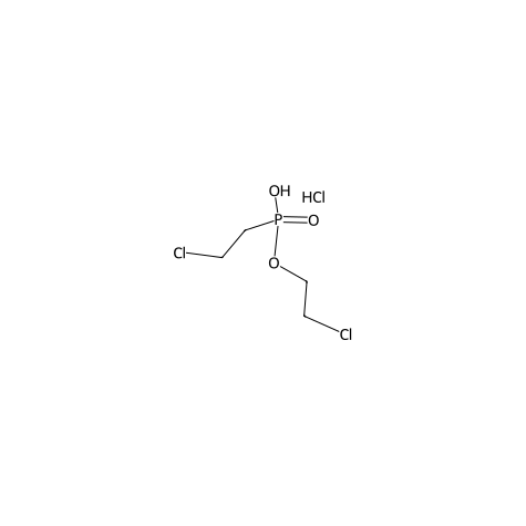 Cl.O=P(O)(CCCl)OCCCl